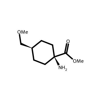 COC[C@H]1CC[C@](N)(C(=O)OC)CC1